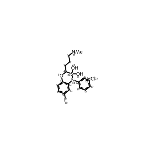 CNCCCC1Oc2ccc(F)cc2N(c2ccccc2)S1(O)O.Cl